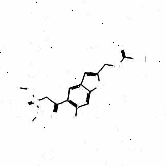 COP(=O)(CC(=O)c1cc2cc(COC(=O)O)oc2cc1F)OC